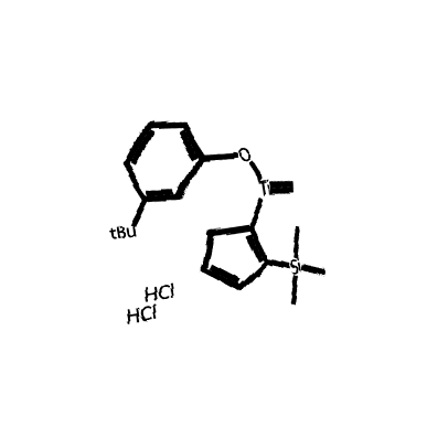 Cl.Cl.[CH2]=[Ti]([O]c1cccc(C(C)(C)C)c1)[C]1=C([Si](C)(C)C)C=CC1